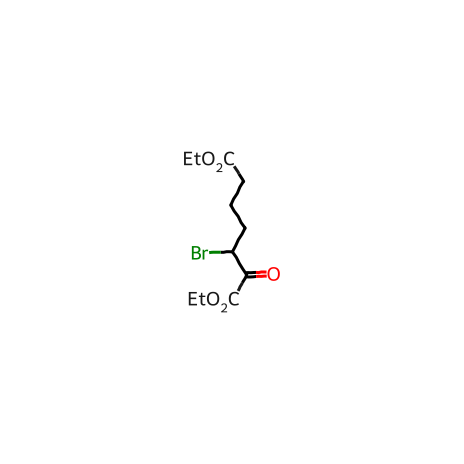 CCOC(=O)CCCC(Br)C(=O)C(=O)OCC